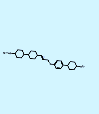 CCCCCC1CCC(C2CCC(/C=C/COc3ccc(C4CCC(CCC)CC4)cc3)CC2)CC1